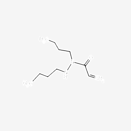 C=CC(=O)N(CCCC)NCCCC